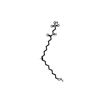 CCCCCCCCC/C=C\CCCCCCCC(=O)NCCS(=O)(=O)O